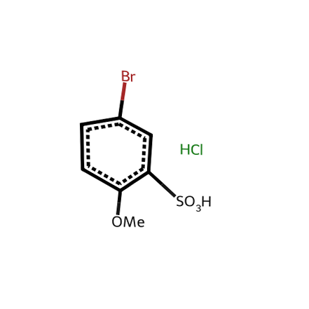 COc1ccc(Br)cc1S(=O)(=O)O.Cl